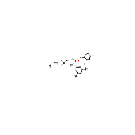 CN(C(=O)Oc1c(N2CCN(CC3(O)CN(C(=O)OC(C)(C)C)C3)C2=O)cc(C(F)(F)F)cc1C(F)(F)F)c1ccc(F)c(Cl)c1F